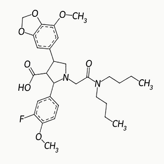 CCCCN(CCCC)C(=O)CN1CC(c2cc(OC)c3c(c2)OCO3)C(C(=O)O)C1c1ccc(OC)c(F)c1